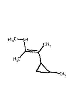 CN/C(C)=C(\C)C1CC1C